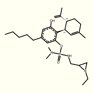 C=C(C)[C@@H]1CCC(C)=C[C@H]1c1c(O)cc(CCCCC)cc1OP(=O)(NCC1CN1CC)N(C)C